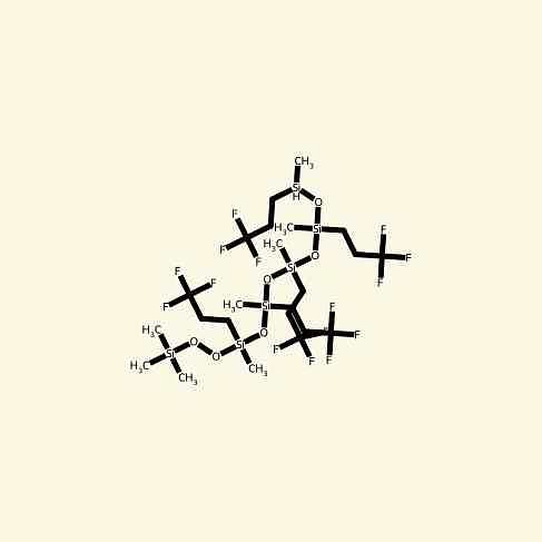 C[SiH](CCC(F)(F)F)O[Si](C)(CCC(F)(F)F)O[Si](C)(CCC(F)(F)F)O[Si](C)(CCC(F)(F)F)O[Si](C)(CCC(F)(F)F)OO[Si](C)(C)C